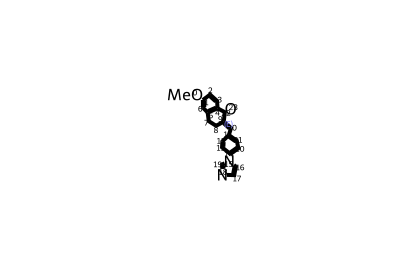 COc1ccc2c(c1)CC/C(=C\c1ccc(-n3ccnc3)cc1)C2=O